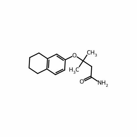 CC(C)(CC(N)=O)Oc1ccc2c(c1)CCCC2